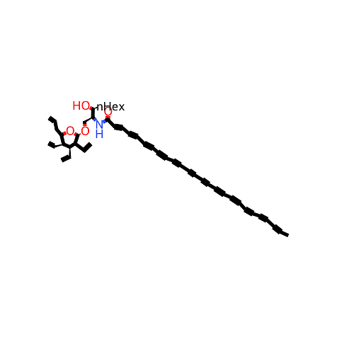 C=CCC1O[C@H](OC[C@H](NC(=O)C#CC#CC#CC#CC#CC#CC#CC#CC#CC#CC#CC#CC)[C@H](O)CCCCCC)C(C=C)[C@@H](C=C)[C@H]1C=C